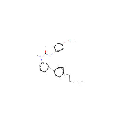 CCCCOc1ccc(NC(=O)N(C)c2cccc(-c3ccc(CCC(=O)OCC)cc3)c2)cc1